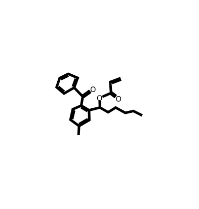 C=CC(=O)OC(CCCCC)c1cc(C)ccc1C(=O)c1ccccc1